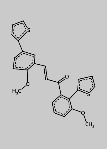 COc1ccc(-c2cccs2)cc1C=CC(=O)c1cccc(OC)c1-c1cccs1